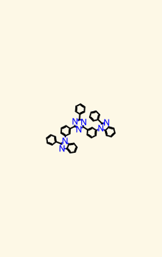 c1ccc(-c2nc(-c3cccc(-n4c(-c5ccccc5)nc5ccccc54)c3)nc(-c3cccc(-n4c(-c5ccccc5)nc5ccccc54)c3)n2)cc1